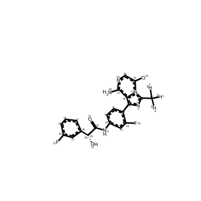 [2H]C([2H])([2H])c1nc(-c2ccc(NC(=O)[C@H](O)c3cccc(F)c3)cc2F)c2c(N)ncc(Cl)n12